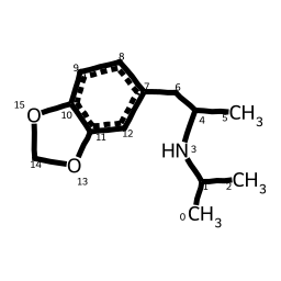 CC(C)NC(C)Cc1ccc2c(c1)OCO2